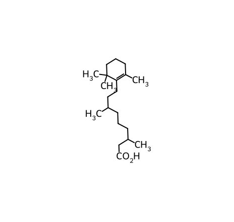 CC1=C(CCC(C)CCCC(C)CC(=O)O)C(C)(C)CCC1